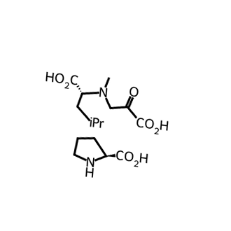 CC(C)C[C@H](C(=O)O)N(C)CC(=O)C(=O)O.O=C(O)[C@@H]1CCCN1